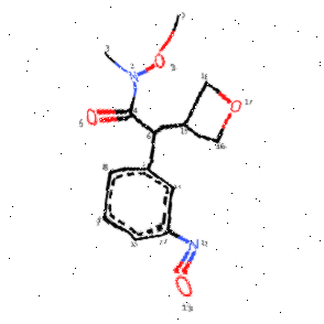 CON(C)C(=O)C(c1cccc(N=O)c1)C1COC1